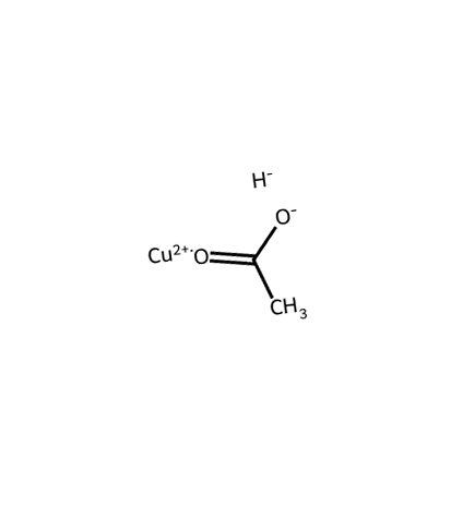 CC(=O)[O-].[Cu+2].[H-]